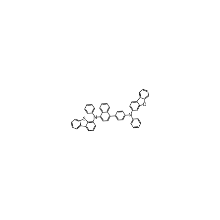 c1ccc(N(c2ccc(-c3ccc(N(c4ccccc4)c4cccc5c4sc4ccccc45)c4ccccc34)cc2)c2ccc3c(c2)oc2ccccc23)cc1